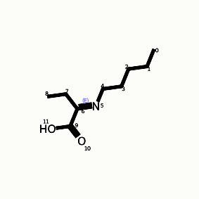 CCCCC/N=C(\CC)C(=O)O